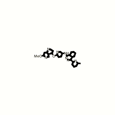 COc1cc2nccc(Oc3ccc(Nc4nnc(-c5cccc(C)n5)c5ccccc45)cn3)c2cn1